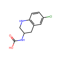 O=C(O)NC1CNc2ccc(Cl)cc2C1